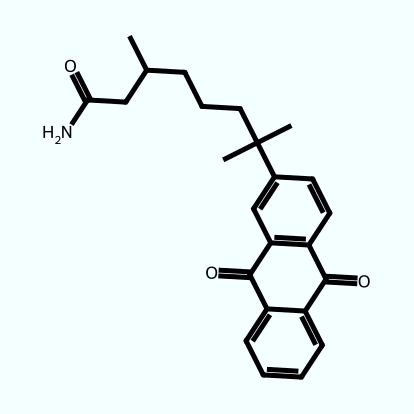 CC(CCCC(C)(C)c1ccc2c(c1)C(=O)c1ccccc1C2=O)CC(N)=O